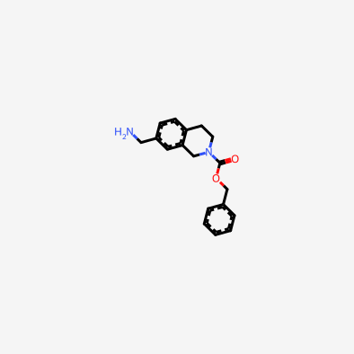 NCc1ccc2c(c1)CN(C(=O)OCc1ccccc1)CC2